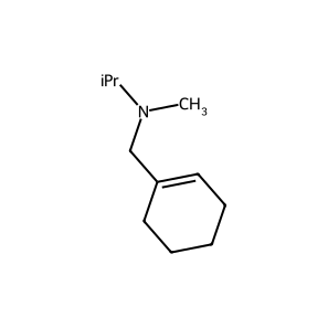 CC(C)N(C)CC1=CCCCC1